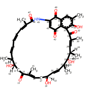 C/C1=C/C=C\C=C\[C@H](C)[C@@H](O)CC(=O)/C(C)=C/C[C@H](O)/C=C/[C@H](C)[C@H](O)[C@@H](C)/C=C(\C)C(=O)c2c(O)c(C)cc3c2C(=O)C=C(NC1=O)C3=O